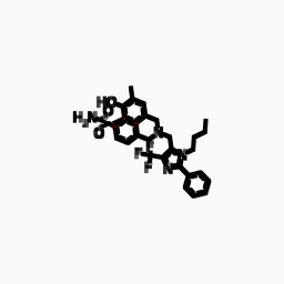 CCCCn1c(-c2ccccc2)nc(C(F)(F)F)c1CN(Cc1ccc(S(N)(=O)=O)cc1)Cc1cc(C)c(O)c(C)c1